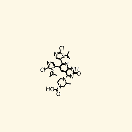 CC1CN(C(=O)O)CCN1c1nc(=O)[nH]c2nc(C3=CN=C(Cl)[SH]3C(C)C)c(C3=CN=C(Cl)[SH]3C(C)C)cc12